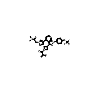 C=C(F)C(=O)N1CC(c2nn(-c3ccc(OC(F)(F)F)cc3)c3nccc(-c4cnn(CC(=O)N(C)C)c4)c23)C1